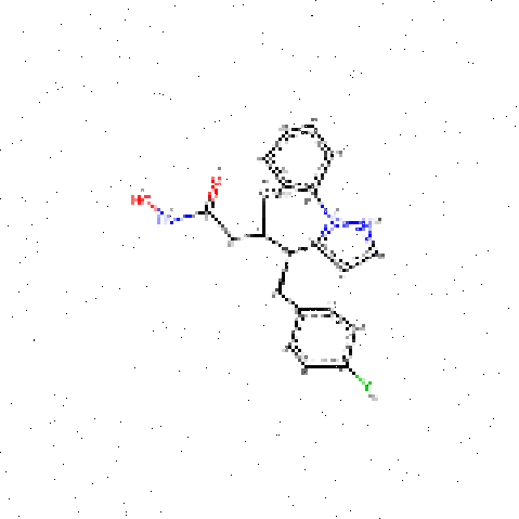 COC(CC(=O)NO)[C@H](Cc1ccc(Cl)cc1)c1ccnn1-c1ccccc1